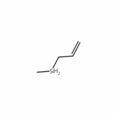 C=CC[SiH2]C